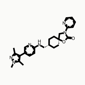 Cc1nn(C)c(C)c1-c1ccc(NC[C@H]2CC[C@]3(CC2)CN(c2ccccn2)C(=O)O3)nc1